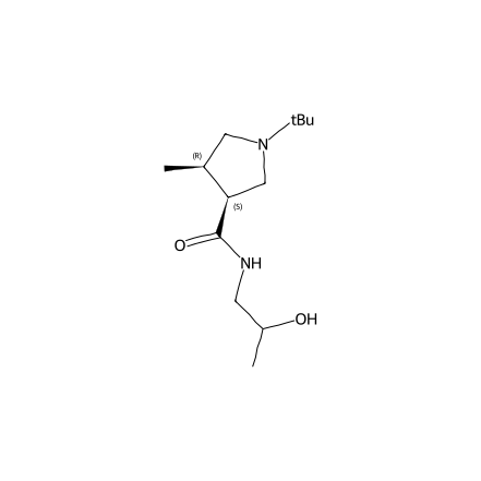 CC(O)CNC(=O)[C@@H]1CN(C(C)(C)C)C[C@@H]1C